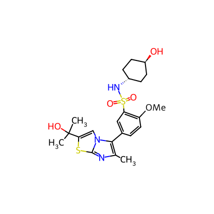 COc1ccc(-c2c(C)nc3sc(C(C)(C)O)cn23)cc1S(=O)(=O)N[C@H]1CC[C@H](O)CC1